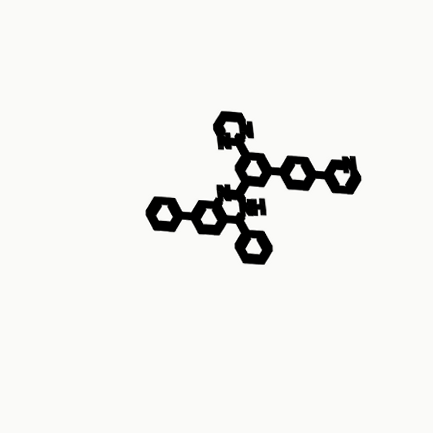 c1ccc(-c2ccc3c(c2)N=C(c2cc(-c4ccc(-c5cccnc5)cc4)cc(-c4ncccn4)c2)NC3c2ccccc2)cc1